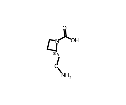 NOC[C@@H]1CCN1C(=O)O